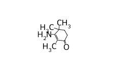 CC1=C(N)C(C)(C)CCC1=O